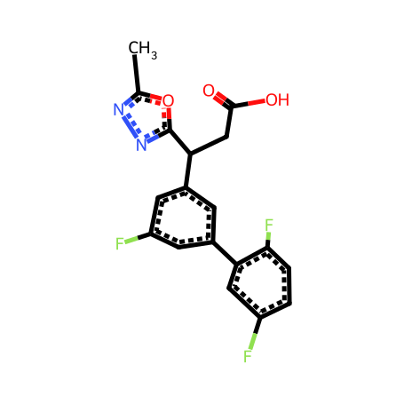 Cc1nnc(C(CC(=O)O)c2cc(F)cc(-c3cc(F)ccc3F)c2)o1